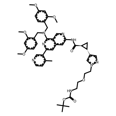 COc1ccc(CN(Cc2ccc(OC)cc2OC)c2nc(-c3cnccc3C)cc3cc(NC(=O)[C@H]4C[C@@H]4c4cnn(CCOCCNC(=O)OC(C)(C)C)c4)ncc23)c(OC)c1